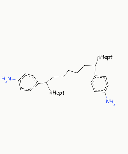 CCCCCCCC(CCCCCC(CCCCCCC)c1ccc(N)cc1)c1ccc(N)cc1